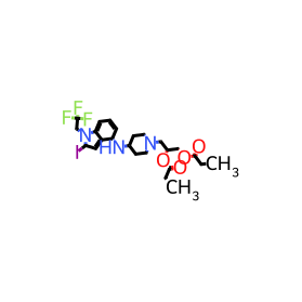 CCC(=O)OCC(CN1CCC(NC2C=CC=C3C2=CC(I)N3CC(F)(F)F)CC1)OC(=O)CC